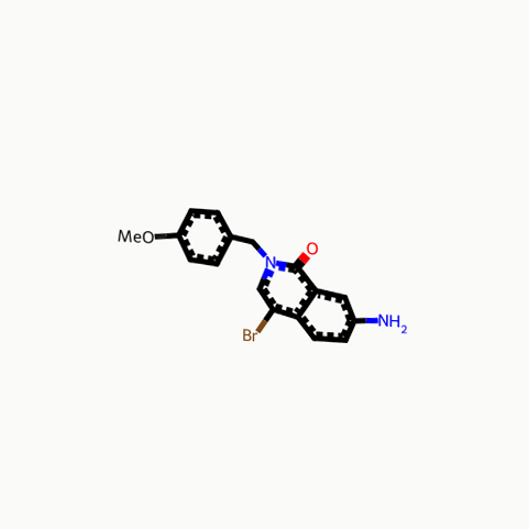 COc1ccc(Cn2cc(Br)c3ccc(N)cc3c2=O)cc1